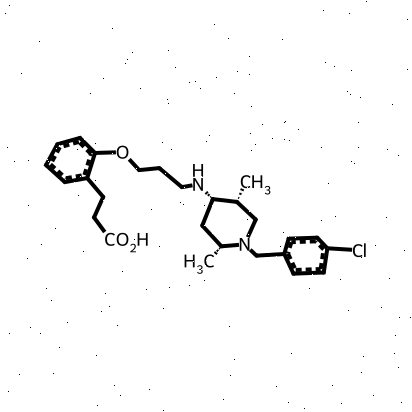 C[C@@H]1CN(Cc2ccc(Cl)cc2)[C@H](C)C[C@@H]1NCCCOc1ccccc1CCC(=O)O